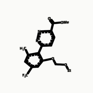 CCOCOc1cc(C(F)(F)F)cc(C)c1-c1ccc(C(=O)OC)nn1